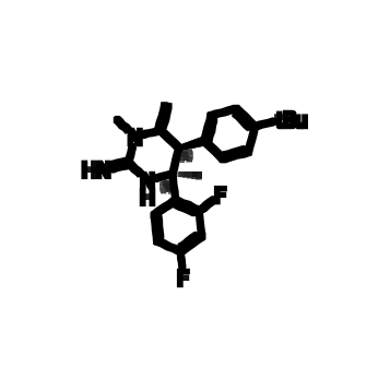 C=C1[C@@H](c2ccc(C(C)(C)C)cc2)[C@@](C)(c2ccc(F)cc2F)NC(=N)N1C